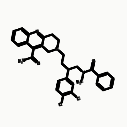 CN(CC(CCN1CCc2nc3ccccc3c(C(N)=O)c2C1)c1ccc(Cl)c(Cl)c1)C(=O)c1ccccc1